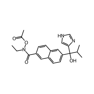 CCN(OC(C)=O)C(=O)c1ccc2cc(C(O)(c3c[nH]cn3)C(C)C)ccc2c1